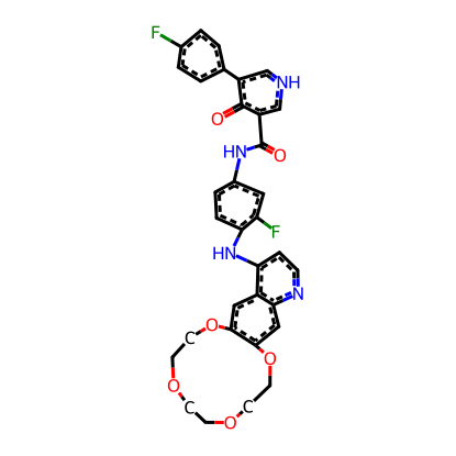 O=C(Nc1ccc(Nc2ccnc3cc4c(cc23)OCCOCCOCCO4)c(F)c1)c1c[nH]cc(-c2ccc(F)cc2)c1=O